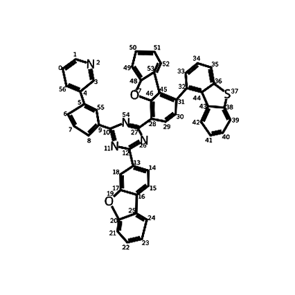 c1cncc(-c2cccc(-c3nc(-c4ccc5c(c4)oc4ccccc45)nc(-c4ccc(-c5cccc6sc7ccccc7c56)c5c4oc4ccccc45)n3)c2)c1